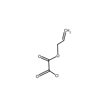 C=CCOC(=O)C(=O)Cl